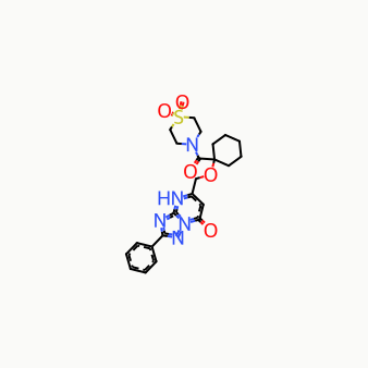 O=C(N1CCS(=O)(=O)CC1)C1(OCc2cc(=O)n3nc(-c4ccccc4)nc3[nH]2)CCCCC1